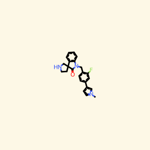 Cn1ccc(-c2ccc(CN3C(=O)C4(CCNC4)c4ccccc43)c(F)c2)c1